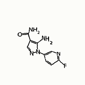 NC(=O)c1cnn(-c2ccc(F)nc2)c1N